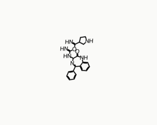 N=C(NC1N=C(c2ccccc2)c2ccccc2NC1=O)OC(=N)C1CCNC1